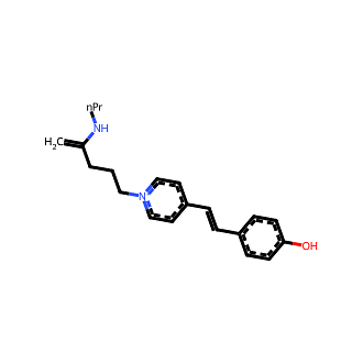 C=C(CCC[n+]1ccc(/C=C/c2ccc(O)cc2)cc1)NCCC